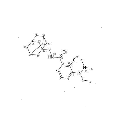 CCN(c1cccc(C(=O)NCC23CC4CC(CC(C4)C2)C3)c1Cl)N(C)C